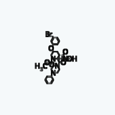 COC(=O)N1C[C@@H](Oc2cccc(Br)c2)C[C@H](C(=O)NO)[C@H]1C(=O)N1CCN(c2ccccc2)CC1